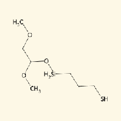 COCC(OC)O[SiH2]CCCS